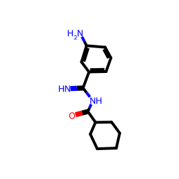 N=C(NC(=O)C1CCCCC1)c1cccc(N)c1